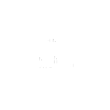 Nc1cccc(C(F)(F)F)c1NC1CCCCN1C(=O)O